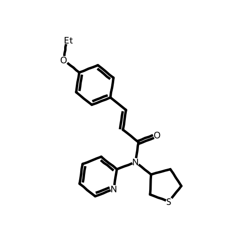 CCOc1ccc(/C=C/C(=O)N(c2ccccn2)C2CCSC2)cc1